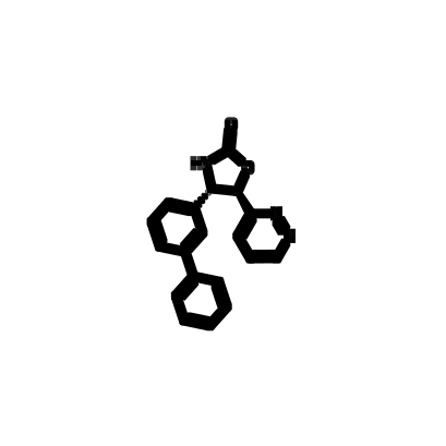 O=C1N[C@@H](c2cccc(-c3ccccc3)c2)[C@H](c2cccnn2)O1